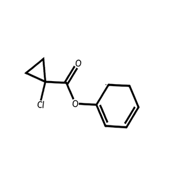 O=C(OC1=CC=CC[CH]1)C1(Cl)CC1